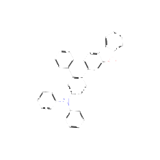 c1ccc(-c2cc(N(c3ccccc3)c3ccccc3)ccc2-c2ccc3c(c2)oc2ccccc23)cc1